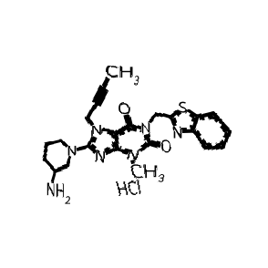 CC#CCn1c(N2CCCC(N)C2)nc2c1c(=O)n(Cc1nc3ccccc3s1)c(=O)n2C.Cl